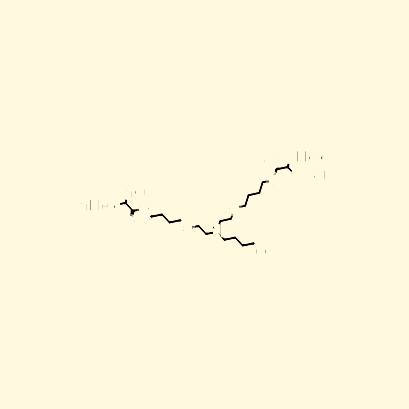 CCCCCCCCC(CCCCCC)C(=O)OCCCCOCCN(CCCCO)CCOCCCCOC(=O)C(CCCCCC)CCCCCCCC